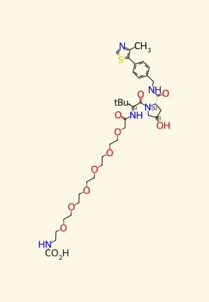 Cc1ncsc1-c1ccc(CNC(=O)[C@@H]2C[C@@H](O)CN2C(=O)[C@@H](NC(=O)COCCOCCOCCOCCOCCOCCNC(=O)O)C(C)(C)C)cc1